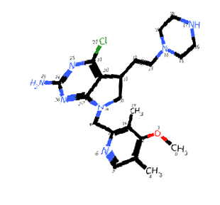 COc1c(C)cnc(CN2CC(CCN3CCNCC3)c3c(Cl)nc(N)nc32)c1C